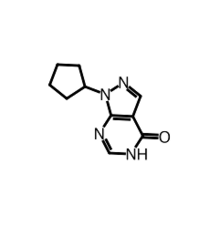 O=c1[nH]cnc2c1cnn2C1CCCC1